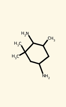 CC1CC(N)CC(C)(C)C1N